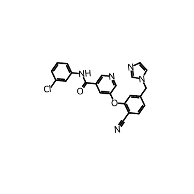 N#Cc1ccc(Cn2ccnc2)cc1Oc1cncc(C(=O)Nc2cccc(Cl)c2)c1